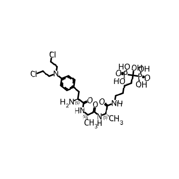 C[C@H](NC(=O)[C@H](C)NC(=O)[C@@H](N)Cc1ccc(N(CCCl)CCCl)cc1)C(=O)NCCCCC(O)(P(=O)(O)O)P(=O)(O)O